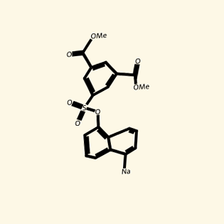 COC(=O)c1cc(C(=O)OC)cc(S(=O)(=O)Oc2cccc3[c]([Na])cccc23)c1